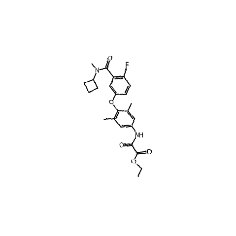 CCOC(=O)C(=O)Nc1cc(C)c(Oc2ccc(F)c(C(=O)N(C)C3CCC3)c2)c(C)c1